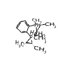 C[C@@H]1[C@H](C)[PH]1(C)c1ccccc1[PH]1(C)[C@H](C)[C@@H]1C